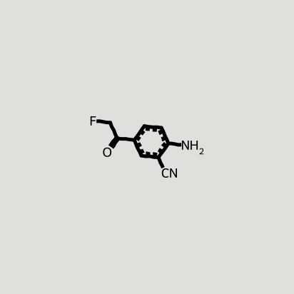 N#Cc1cc(C(=O)CF)ccc1N